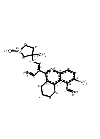 CC1(N/C=C(\C=N)c2nc3ccc(N)c(C=N)c3c3c2CCCC3)CC[S+]([O-])C1